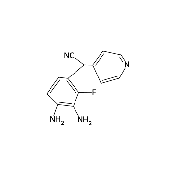 N#CC(c1ccncc1)c1ccc(N)c(N)c1F